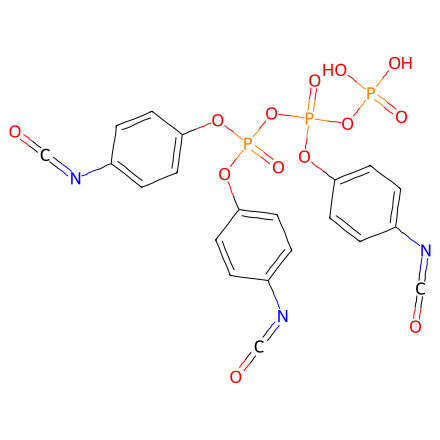 O=C=Nc1ccc(OP(=O)(Oc2ccc(N=C=O)cc2)OP(=O)(Oc2ccc(N=C=O)cc2)OP(=O)(O)O)cc1